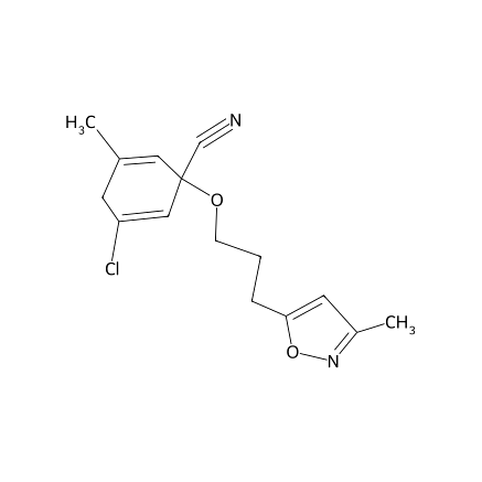 CC1=CC(C#N)(OCCCc2cc(C)no2)C=C(Cl)C1